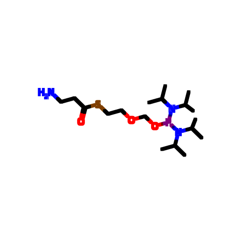 CC(C)N(C(C)C)P(OCOCCSC(=O)CCN)N(C(C)C)C(C)C